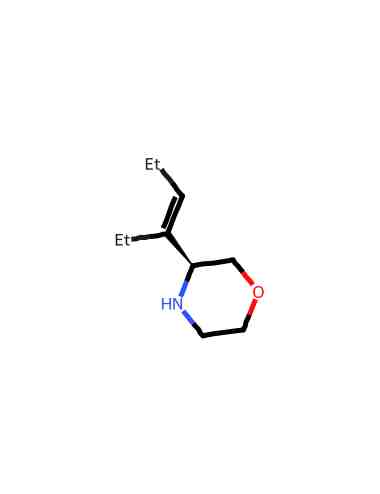 CC/C=C(\CC)[C@H]1COCCN1